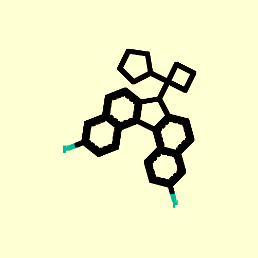 Fc1ccc2c3c(ccc2c1)C(C1(C2CCCC2)CCC1)c1ccc2cc(F)ccc2c1-3